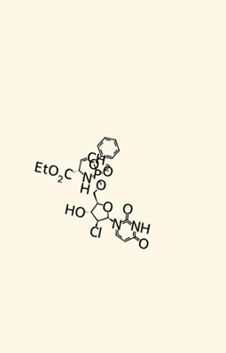 C=C[C@H](NP(=O)(OC[C@H]1O[C@@H](n2ccc(=O)[nH]c2=O)[C@@H](Cl)[C@@H]1O)Oc1ccccc1)C(=O)OCC